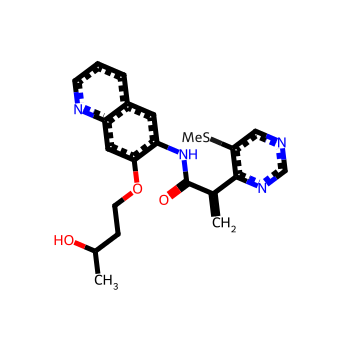 C=C(C(=O)Nc1cc2cccnc2cc1OCCC(C)O)c1ncncc1SC